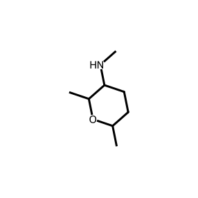 CNC1CCC(C)OC1C